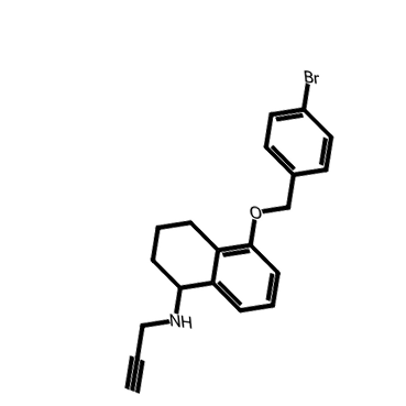 C#CCNC1CCCc2c(OCc3ccc(Br)cc3)cccc21